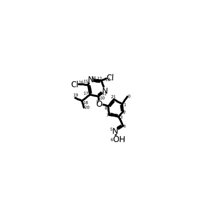 Cc1cc(C=NO)cc(Oc2nc(Cl)nc(Cl)c2C(C)C)c1